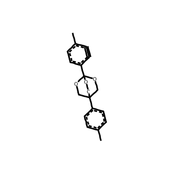 Cc1c#cc(C23OCC(c4ccc(C)cc4)(CO2)CO3)cc1